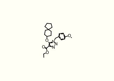 CCOC(=O)c1nnn(Cc2ccc(OC)cc2)c1OC1CCC2(CCCC2)CC1